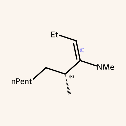 CC/C=C(/NC)[C@H](C)CCCCCC